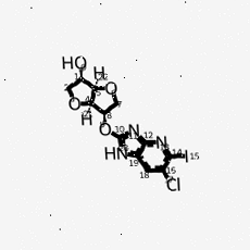 O[C@@H]1CO[C@H]2[C@@H]1OC[C@H]2Oc1nc2nc(I)c(Cl)cc2[nH]1